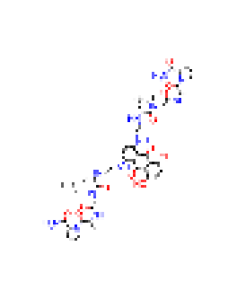 C[C@H](NC(=O)CNC(=O)[C@H](CC(=O)O)NCCNc1ccc(NCCN[C@@H](CC(=O)O)C(=O)NCC(=O)N[C@@H](C)C(=O)N2CCC[C@H]2C(N)=O)c2c1C(=O)c1c(O)ccc(O)c1C2=O)C(=O)N1CCC[C@H]1C(N)=O